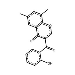 Cc1cc(C)c2occ(C(=O)c3ccccc3O)c(=O)c2c1